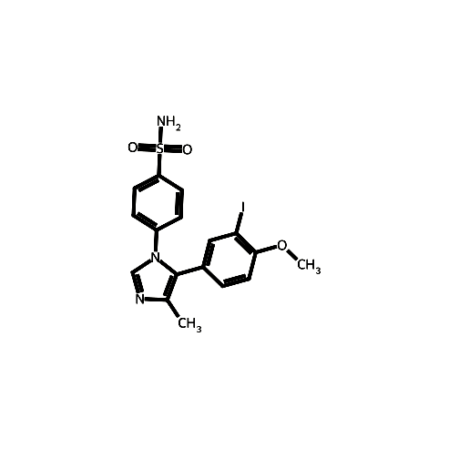 COc1ccc(-c2c(C)ncn2-c2ccc(S(N)(=O)=O)cc2)cc1I